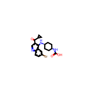 O=C(O)N[C@H]1CC[C@@H](Nc2c(C(=O)C3CC3)cnc3ccc(Br)cc23)CC1